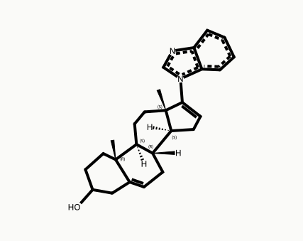 C[C@]12CCC(O)CC1=CC[C@@H]1[C@@H]2CC[C@]2(C)C(n3cnc4ccccc43)=CC[C@@H]12